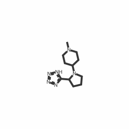 CN1CCC(N2CCCC2c2nnn[nH]2)CC1